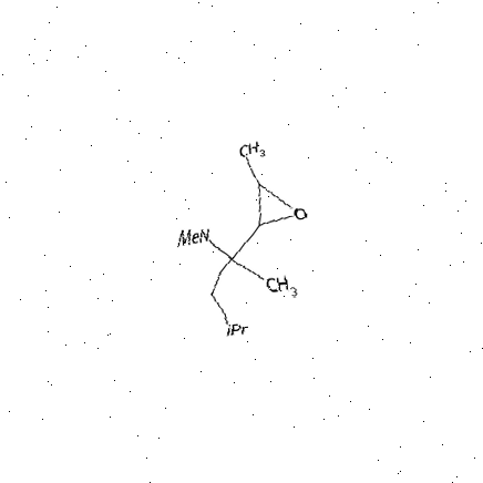 CNC(C)(CC(C)C)C1OC1C